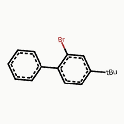 CC(C)(C)c1ccc(-c2ccccc2)c(Br)c1